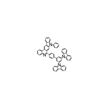 c1ccc(-n2c3ccccc3c3cc4c(cc32)c(-c2ccc(-c3cc(-n5c6ccccc6c6ccccc65)cc(-n5c6ccccc6c6ccccc65)c3)cc2)nc2ccccc24)cc1